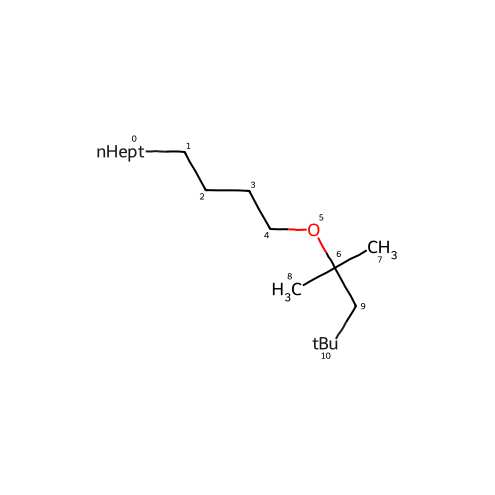 CCCCCCCCCCCOC(C)(C)CC(C)(C)C